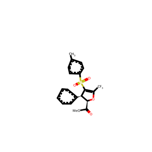 COC(=O)[C@@H]1OC(C(F)(F)F)=C(S(=O)(=O)c2ccc(C)cc2)[C@H]1c1ccccc1